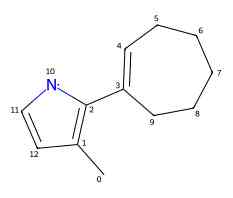 CC1=C(C2=CCCCCC2)[N]C=C1